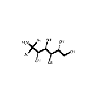 CC(=O)C(N)(C(C)=O)[C@H](O)[C@@H](O)[C@H](O)[C@H](O)CO